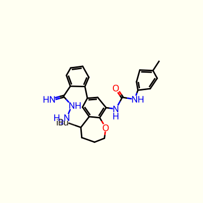 CCC(C)C1CCCOc2c(NC(=O)Nc3ccc(C)cc3)cc(-c3ccccc3C(=N)NN)cc21